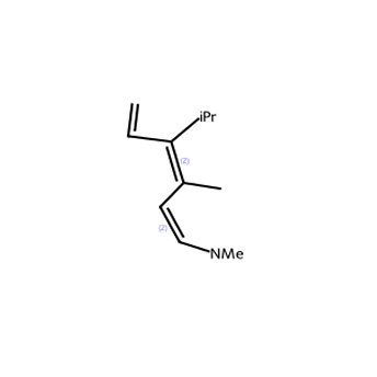 C=C/C(=C(C)\C=C/NC)C(C)C